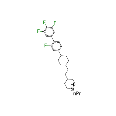 CCC[SiH]1CCC(CCC2CCC(c3ccc(-c4cc(F)c(F)c(F)c4)c(F)c3)CC2)CC1